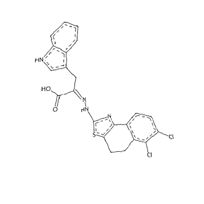 O=C(O)/C(Cc1c[nH]c2ccccc12)=N\Nc1nc2c(s1)CCc1c-2ccc(Cl)c1Cl